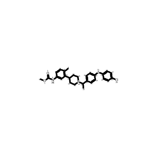 COC(=O)Nc1ccc(C)c(C2CCN(C(C)c3ccc(Sc4ccc(Cl)cc4)cc3)CC2)c1